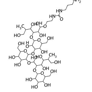 CC(CO)C(O)C(O)C(OC1OC(CO)C(O)C(O)C1O)C(O)OC1C(OC2C(O)C(CO)OC(OC(C(O)C(C)CO)C(O)C(O)OCCNC(=O)NCCCN)C2O)OC(CO)C(O)C1O